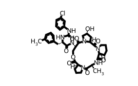 Cc1cccc(C[C@H](NC(=O)Nc2cccc(Cl)c2)C(=O)N[C@H]2COC(=O)[C@@H]3CCCN3C(=O)[C@H](C)NC(=O)[C@@H]3CCCCN3C(=O)[C@@H]3C[C@@H](O)CN3C2=O)c1